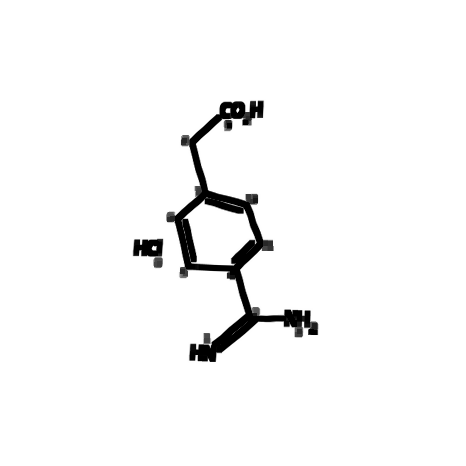 Cl.N=C(N)c1ccc(CC(=O)O)cc1